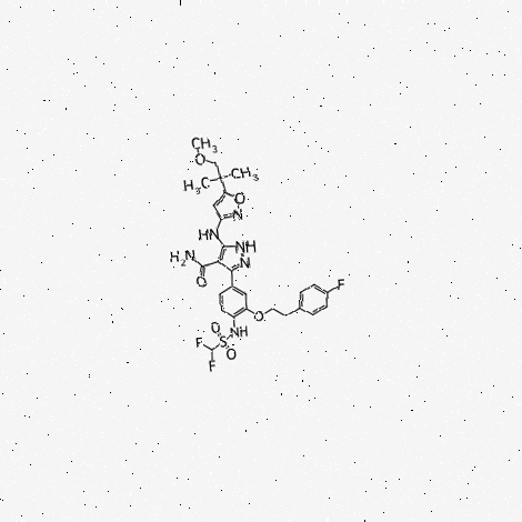 COCC(C)(C)c1cc(Nc2[nH]nc(-c3ccc(NS(=O)(=O)C(F)F)c(OCCc4ccc(F)cc4)c3)c2C(N)=O)no1